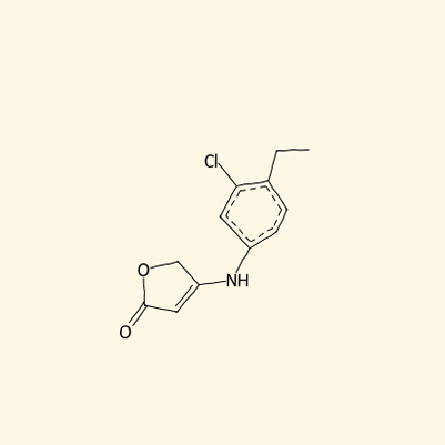 CCc1ccc(NC2=CC(=O)OC2)cc1Cl